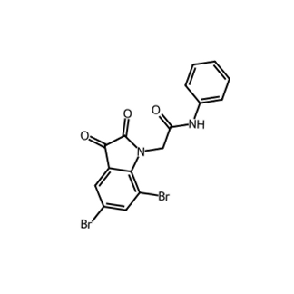 O=C(CN1C(=O)C(=O)c2cc(Br)cc(Br)c21)Nc1ccccc1